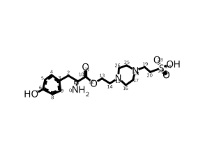 N[C@@H](Cc1ccc(O)cc1)C(=O)OCCN1CCN(CCS(=O)(=O)O)CC1